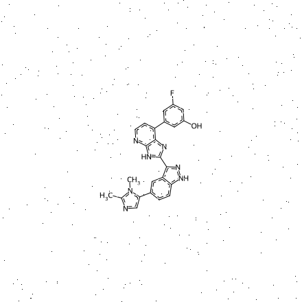 Cc1ncc(-c2ccc3[nH]nc(-c4nc5c(-c6cc(O)cc(F)c6)ccnc5[nH]4)c3c2)n1C